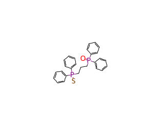 O=P(CCCP(=S)(c1ccccc1)c1ccccc1)(c1ccccc1)c1ccccc1